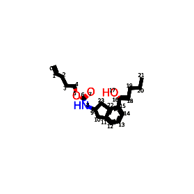 C=CCCCOC(=O)NC1Cc2cccc(C(O)=CCCC)c2C1